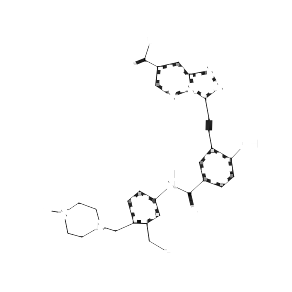 Cc1ccc(C(=O)Nc2ccc(CN3CCN(C)CC3)c(CF)c2)cc1C#Cc1nnc2cc(C(=O)O)cnn12